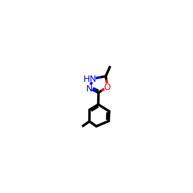 CC1C=C(C2=NNC(C)O2)C=CC1